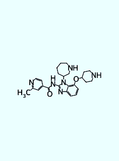 Cc1cc(C(=O)Nc2nc3cccc(OC4CCNCC4)c3n2C2CCCCNC2)ccn1